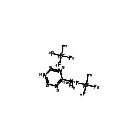 F[B-](F)(F)F.F[B-](F)(F)F.Nc1ncncn1